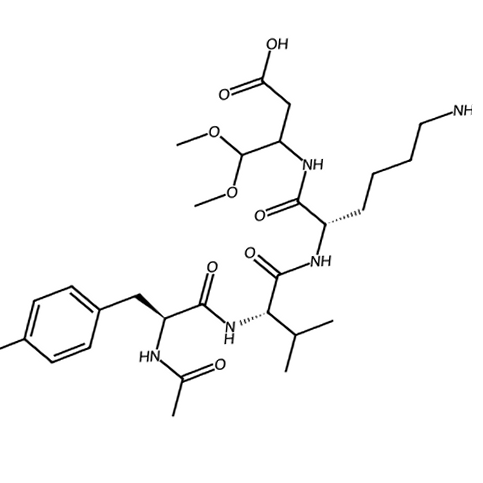 COC(OC)C(CC(=O)O)NC(=O)[C@H](CCCCN)NC(=O)[C@@H](NC(=O)[C@H](Cc1ccc(O)cc1)NC(C)=O)C(C)C